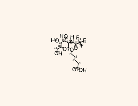 O=C(O)CCCCO[C@@H]1OC(CO)[C@H](O)C(O)C1NC(=O)C(F)(F)F